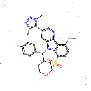 COc1ccc(S(C)(=O)=O)c2c1c1ncc(-c3c(C)nnn3C)cc1n2C(c1ccc(F)cc1)C1CCOCC1